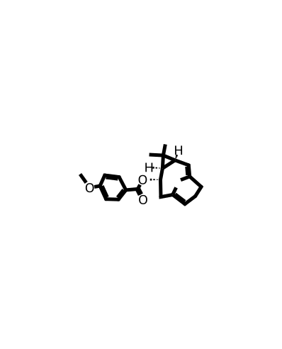 COc1ccc(C(=O)O[C@H]2C/C(C)=C/CC/C(C)=C/[C@H]3[C@@H]2C3(C)C)cc1